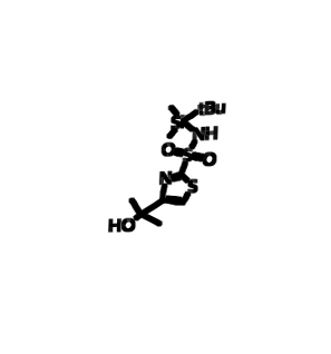 CC(C)(O)c1csc(S(=O)(=O)N[Si](C)(C)C(C)(C)C)n1